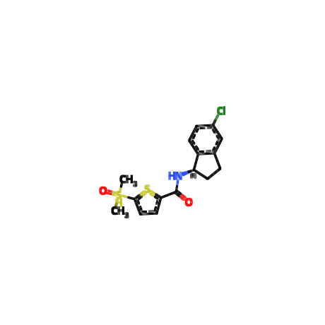 C[SH](C)(=O)c1ccc(C(=O)N[C@@H]2CCc3cc(Cl)ccc32)s1